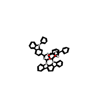 c1ccc(-c2nc(-c3ccc4c5ccccc5n(-c5ccccc5)c4c3)nc(-n3c4ccccc4c4ccc5c6ccccc6n(-c6cccc7nc(-c8ccccc8)oc67)c5c43)n2)cc1